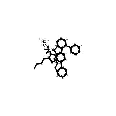 CCCCC1=Cc2c(-c3ccccc3)cccc2[CH]1[Hf]([CH3])([CH3])(=[SiH2])[CH]1C(CCCC)=Cc2c(-c3ccccc3)cccc21.Cl.Cl